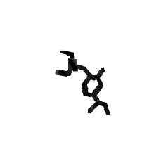 CCC(C)c1ccc(CN(CC)CC)c(C)c1